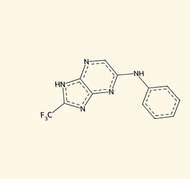 FC(F)(F)c1nc2nc(Nc3ccccc3)cnc2[nH]1